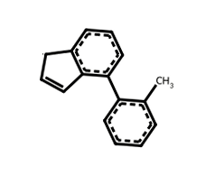 Cc1ccccc1-c1cccc2c1C=C[CH]2